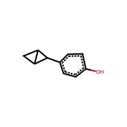 Oc1ccc(C2C3CC32)cc1